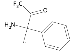 [CH2]C(N)(C(=O)C(F)(F)F)c1ccccc1